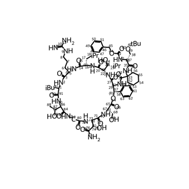 CC[C@H](C)C1NC(=O)[C@@H](CCCNC(=N)N)NC(=O)[C@H](CC(C)C)NC(=O)[C@H]([C@H](O)C(C)C)NC(=O)[C@@H](NC(=O)C2(NC(=O)[C@@H](COC(C)(C)C)NC(=O)OCc3ccccc3)CCCCC2)[C@@H](c2ccccc2)OC(=O)[C@H](CO)NC(=O)[C@H]([C@H](O)C(N)=O)NC(=O)CNC(=O)C([C@H](C)O)NC1=O